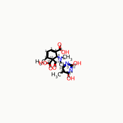 CC1=CC=C(C(=O)O)C(N(C)C)C1(C=O)C(=O)O.Cc1cnc(O)nc1O